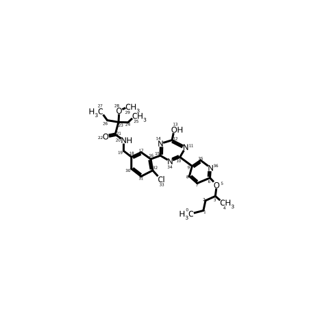 CCCC(C)Oc1ccc(-c2nc(O)nc(-c3cc(CNC(=O)C(CC)(CC)OC)ccc3Cl)n2)cn1